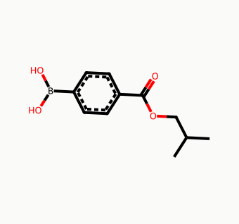 CC(C)COC(=O)c1ccc(B(O)O)cc1